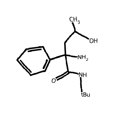 CC(O)CC(N)(C(=O)NC(C)(C)C)c1ccccc1